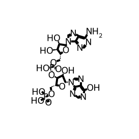 Nc1ncnc2c1ncn2[C@@H]1O[C@H](COP(=O)(O)O[C@H]2[C@@H](O)[C@H](n3cnc4c(O)ncnc43)O[C@@H]2COP(=O)(O)O)[C@@H](O)[C@H]1O